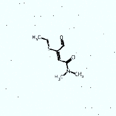 CCS/C(C=O)=C/C(=O)N(C)C